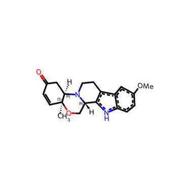 COc1ccc2[nH]c3c(c2c1)CCN1[C@H]3CO[C@@]2(C)C=CC(=O)C[C@@H]12